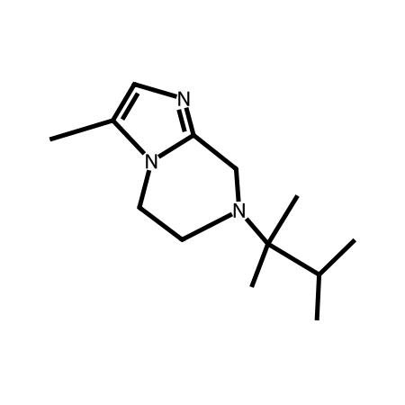 Cc1cnc2n1CCN(C(C)(C)C(C)C)C2